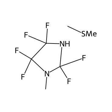 CN1C(F)(F)NC(F)(F)C1(F)F.CSC